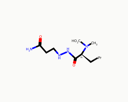 CC(C)C[C@@H](C(=O)NNCCC(N)=O)N(C)C(=O)O